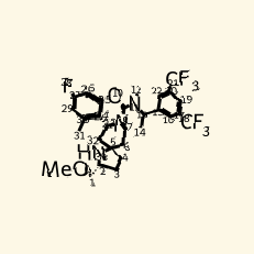 COC[C@H]1CC[C@@]2(CCN(C(=O)N(C)C(C)c3cc(C(F)(F)F)cc(C(F)(F)F)c3)[C@@H](c3ccc(F)cc3C)C2)N1